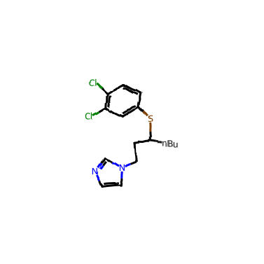 CCCCC(CCn1ccnc1)Sc1ccc(Cl)c(Cl)c1